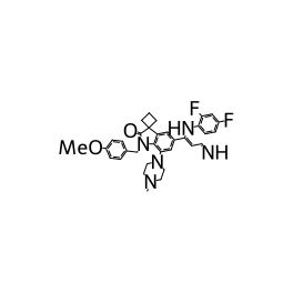 COc1ccc(CN2C(=O)C3(CCC3)c3cc(/C(=C/C=N)Nc4ccc(F)cc4F)cc(N4CCN(C)CC4)c32)cc1